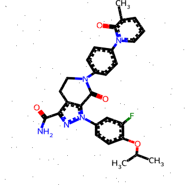 Cc1cccn(-c2ccc(N3CCc4c(C(N)=O)nn(-c5ccc(OC(C)C)c(F)c5)c4C3=O)cc2)c1=O